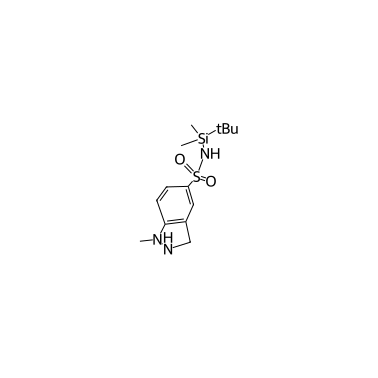 CN1NCc2cc(S(=O)(=O)N[Si](C)(C)C(C)(C)C)ccc21